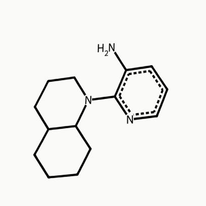 Nc1cccnc1N1CCCC2CCCCC21